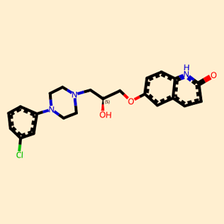 O=c1ccc2cc(OC[C@@H](O)CN3CCN(c4cccc(Cl)c4)CC3)ccc2[nH]1